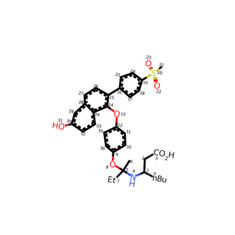 CCCCC(CC(=O)O)NC(C)(CC)Oc1ccc(Oc2c(-c3ccc(S(C)(=O)=O)cc3)ccc3cc(O)ccc23)cc1